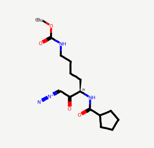 CC(C)(C)OC(=O)NCCCC[C@@H](NC(=O)C1CCCC1)C(=O)C=[N+]=[N-]